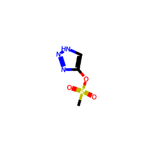 CS(=O)(=O)Oc1c[nH]nn1